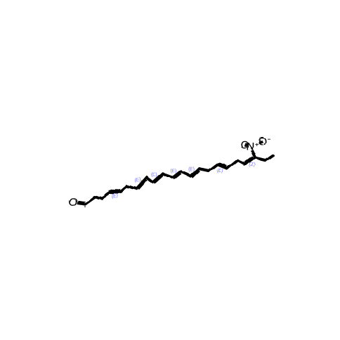 CC/C(=C/C/C=C/C/C=C/C=C/C=C/C=C/C/C=C/CC[C]=O)[N+](=O)[O-]